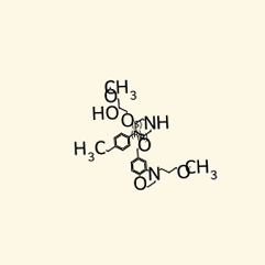 CCc1ccc([C@@H]2[C@@H](OCc3ccc4c(c3)N(CCCOC)CCO4)CNC[C@H]2OCC(O)COC)cc1